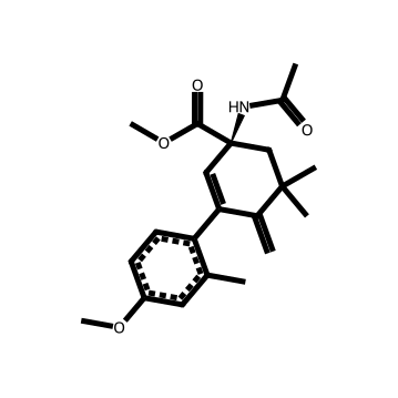 C=C1C(c2ccc(OC)cc2C)=C[C@](NC(C)=O)(C(=O)OC)CC1(C)C